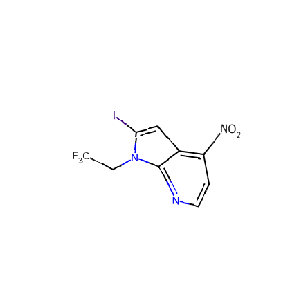 O=[N+]([O-])c1ccnc2c1cc(I)n2CC(F)(F)F